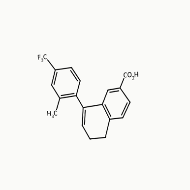 Cc1cc(C(F)(F)F)ccc1C1=CCCc2ccc(C(=O)O)cc21